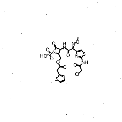 CON=C(C(=O)NC1C(=O)N(S(=O)(=O)O)C1COC(=O)Cc1cccs1)c1csc(NC(=O)CCl)n1